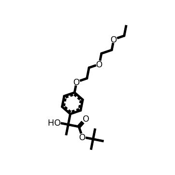 CCOCCOCCOc1ccc(C(C)(O)C(=O)OC(C)(C)C)cc1